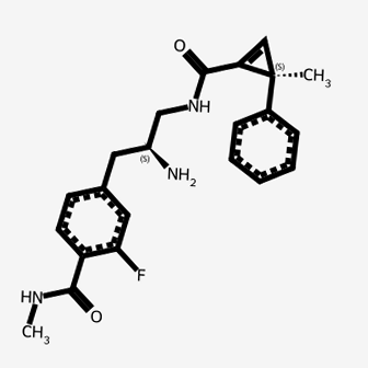 CNC(=O)c1ccc(C[C@H](N)CNC(=O)C2=C[C@@]2(C)c2ccccc2)cc1F